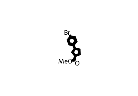 COC(=O)C1CCC(c2ccc(Br)cc2)C1